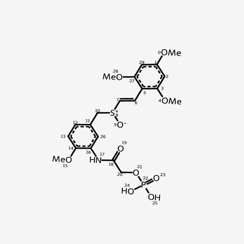 COc1cc(OC)c(C=C[S+]([O-])Cc2ccc(OC)c(NC(=O)COP(=O)(O)O)c2)c(OC)c1